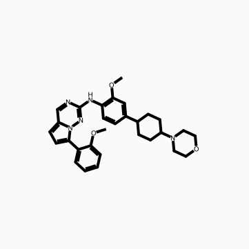 COc1cc(C2CCC(N3CCOCC3)CC2)ccc1Nc1ncc2ccc(-c3ccccc3OC)n2n1